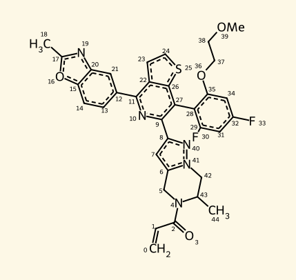 C=CC(=O)N1Cc2cc(-c3nc(-c4ccc5oc(C)nc5c4)c4ccsc4c3-c3c(F)cc(F)cc3OCCOC)nn2CC1C